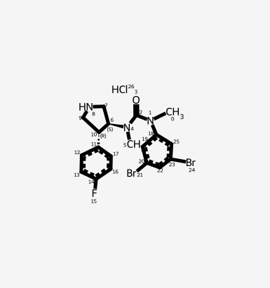 CN(C(=O)N(C)[C@@H]1CNC[C@H]1c1ccc(F)cc1)c1cc(Br)cc(Br)c1.Cl